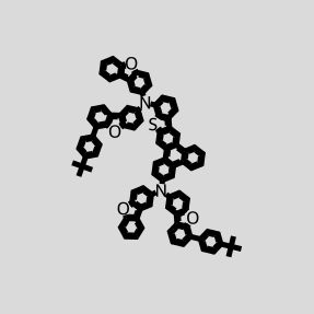 CC(C)(C)c1ccc(-c2cccc3c2oc2ccc(N(c4ccc5oc6ccccc6c5c4)c4ccc5c(c4)c4ccccc4c4cc6c(cc54)sc4c(N(c5ccc7oc8ccccc8c7c5)c5ccc7oc8c(-c9ccc(C(C)(C)C)cc9)cccc8c7c5)cccc46)cc23)cc1